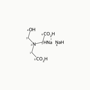 O=C(O)CN(CO)CC(=O)O.[NaH].[NaH]